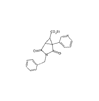 CCOC(=O)C1C2C(=O)N(Cc3ccccc3)C(=O)C12c1cccnc1